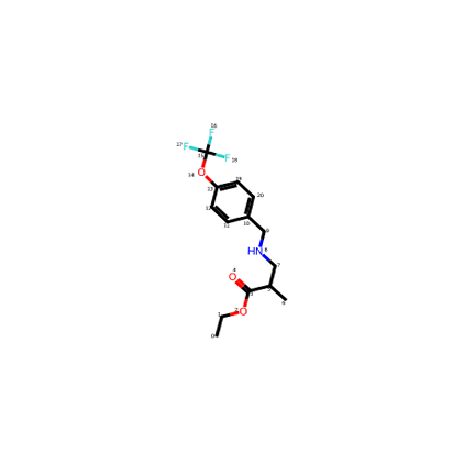 CCOC(=O)C(C)CNCc1ccc(OC(F)(F)F)cc1